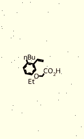 C=Cc1ccccc1CCCC.CCOCC(=O)O